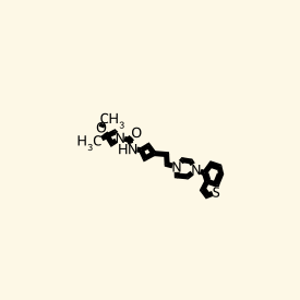 COC1(C)CN(C(=O)NC2CC(CCN3CCN(c4cccc5sccc45)CC3)C2)C1